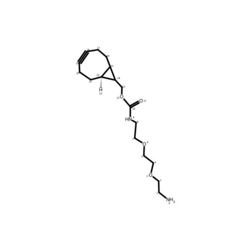 NCCOCCOCCNC(=O)OCC1C2CCC#CCC[C@@H]21